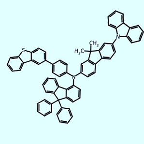 CC1(C)c2cc(N(c3ccc(-c4ccc5sc6ccccc6c5c4)cc3)c3cccc4c3-c3ccccc3C4(c3ccccc3)c3ccccc3)ccc2-c2ccc(-n3c4ccccc4c4ccccc43)cc21